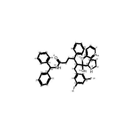 O=C(CCC(c1ccccc1)C(Cc1cc(F)cc(F)c1)C(O)(Oc1cccnc1)C1CCCN1)NC(c1ccccc1)c1ccccc1